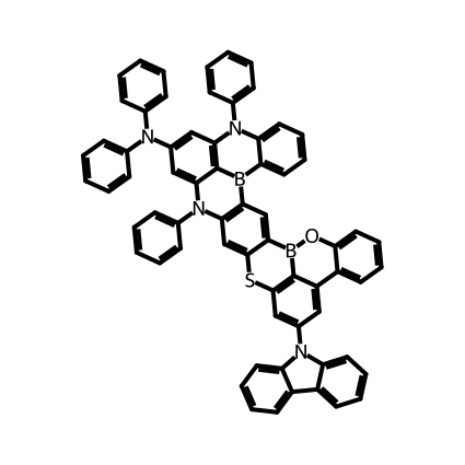 c1ccc(N(c2ccccc2)c2cc3c4c(c2)N(c2ccccc2)c2cc5c(cc2B4c2ccccc2N3c2ccccc2)B2Oc3ccccc3-c3cc(-n4c6ccccc6c6ccccc64)cc(c32)S5)cc1